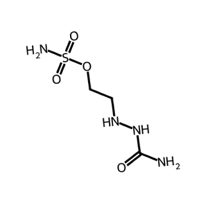 NC(=O)NNCCOS(N)(=O)=O